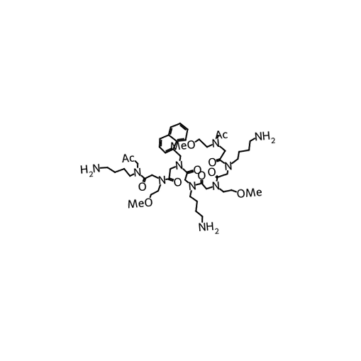 COCCN(CC(=O)N(CCCCN)CC(=O)N(CCOC)CC(=O)N(CCCCN)CC(=O)N(CC(=O)N(CCOC)CC(=O)N(CCCCN)CC(C)=O)Cc1cccc2ccccc12)C(C)=O